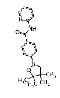 CC1(C)CB(c2ccc(C(=O)Nc3ccccn3)cc2)OC1(C)C